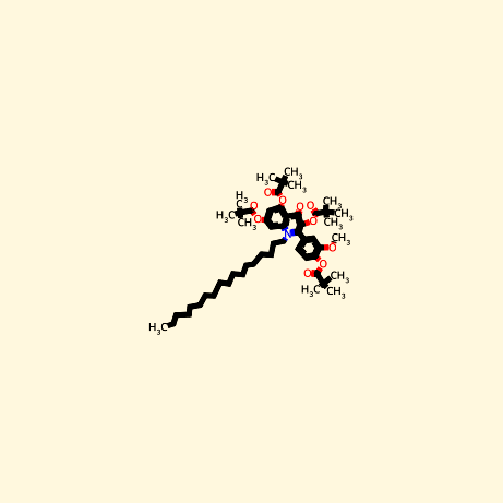 CCCCCCCCCCCCCCCCCCn1c(-c2ccc(OC(=O)C(C)(C)C)c(OC)c2)c(OC(=O)C(C)(C)C)c(=O)c2c(OC(=O)C(C)(C)C)cc(OC(=O)C(C)(C)C)cc21